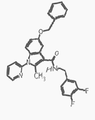 Cc1c(C(=O)NCc2ccc(F)c(F)c2)c2cc(OCc3ccccc3)ccc2n1-c1ccccn1